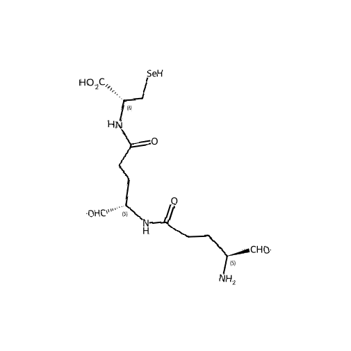 N[C@H]([C]=O)CCC(=O)N[C@H]([C]=O)CCC(=O)N[C@@H](C[SeH])C(=O)O